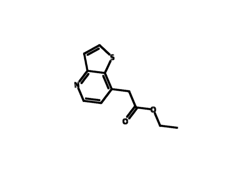 CCOC(=O)Cc1ccnc2ccsc12